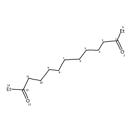 CCC(=O)CCCCCCCCCC(=O)CC